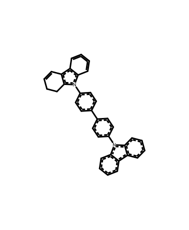 C1=C=Cc2c(c3c(n2-c2ccc(-c4ccc(-n5c6ccccc6c6ccccc65)cc4)cc2)CCC=C3)C=1